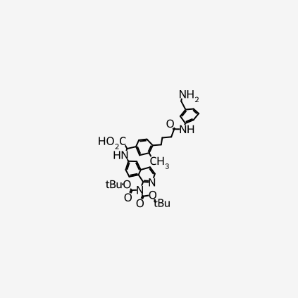 Cc1cc(C(Nc2ccc3c(N(C(=O)OC(C)(C)C)C(=O)OC(C)(C)C)nccc3c2)C(=O)O)ccc1CCCC(=O)Nc1cccc(CN)c1